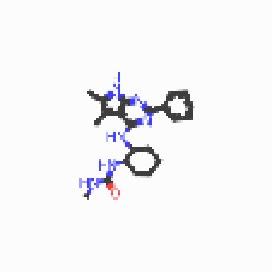 CNC(=O)N[C@@H]1CCCCC1Nc1nc(-c2ccccc2)nc2[nH]c(C)c(C)c12